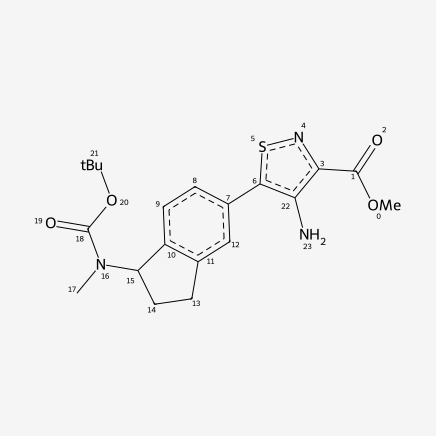 COC(=O)c1nsc(-c2ccc3c(c2)CCC3N(C)C(=O)OC(C)(C)C)c1N